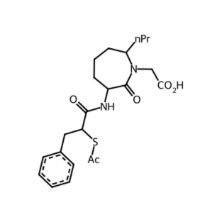 CCCC1CCCC(NC(=O)C(Cc2ccccc2)SC(C)=O)C(=O)N1CC(=O)O